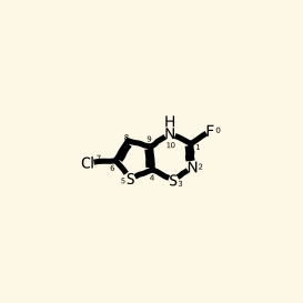 FC1=NSc2sc(Cl)cc2N1